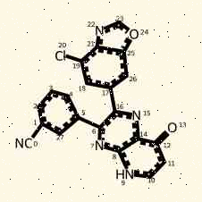 N#Cc1cccc(-c2nc3[nH]ccc(=O)c3nc2-c2cc(Cl)c3ncoc3c2)c1